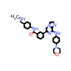 CNCc1ccc(NC(=O)c2cccc(-c3cn4ccnc4c(Nc4ccc(N5CCOCC5)cc4)n3)c2)cc1